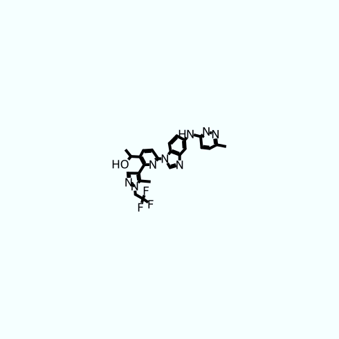 Cc1ccc(Nc2ccc3c(c2)ncn3-c2ccc(C(C)O)c(-c3cnn(CC(F)(F)F)c3C)n2)nn1